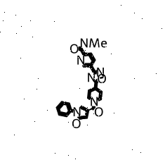 CNC(=O)c1ccc(-c2noc(C3CCN(C(=O)[C@H]4CC(=O)N(c5ccccc5)C4)CC3)n2)cn1